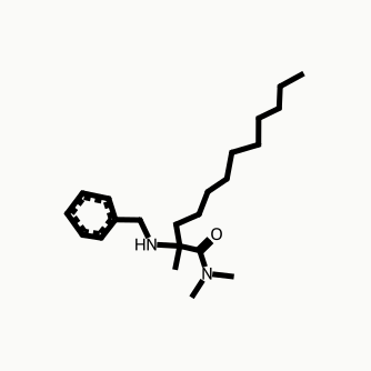 CCCCCCCCCCC(C)(NCc1ccccc1)C(=O)N(C)C